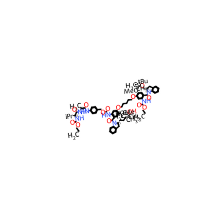 C=CCOC(=O)Nc1cc(OCCCCCOc2cc(NC(=O)OCc3ccc(NC(=O)[C@H](C)NC(=O)[C@@H](NC(=O)OCC=C)C(C)C)cc3)c(C(=O)N3c4ccccc4C[C@H]3CCC(C)(C)[Si](C)(C)O)cc2OC)c(OC)cc1C(=O)N1c2ccccc2C[C@H]1CO[Si](C)(C)C(C)(C)C